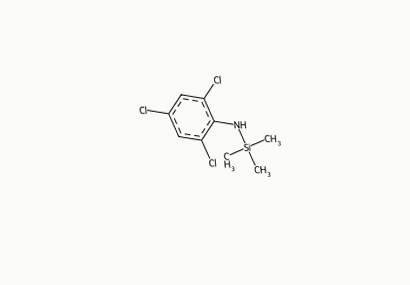 C[Si](C)(C)Nc1c(Cl)cc(Cl)cc1Cl